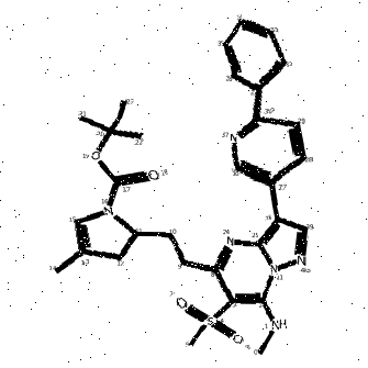 CNc1c(S(C)(=O)=O)c(CCC2CC(C)=CN2C(=O)OC(C)(C)C)nc2c(-c3ccc(-c4ccccc4)nc3)cnn12